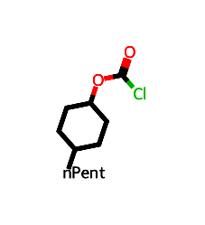 CCCCCC1CCC(OC(=O)Cl)CC1